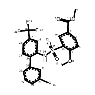 COC(=O)c1ccc(OC)c(S(=O)(=O)Nc2cc(C(F)(F)F)ccc2-c2cccc(F)c2)c1